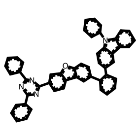 c1ccc(-c2nc(-c3ccccc3)nc(-c3ccc4c(c3)oc3ccc(-c5ccccc5-c5ccc6c(c5)c5ccccc5n6-c5ccccc5)cc34)n2)cc1